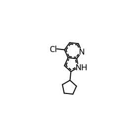 Clc1ccnc2[nH]c(C3CCCC3)cc12